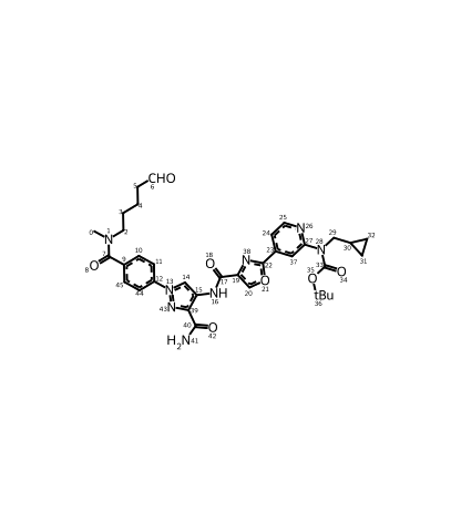 CN(CCCCC=O)C(=O)c1ccc(-n2cc(NC(=O)c3coc(-c4ccnc(N(CC5CC5)C(=O)OC(C)(C)C)c4)n3)c(C(N)=O)n2)cc1